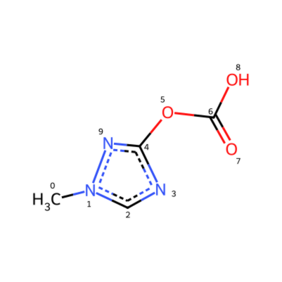 Cn1cnc(OC(=O)O)n1